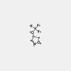 FC(F)(F)OC1[C]=NOC1